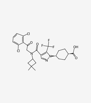 CC1(C)CC(N(CC(=O)c2c(Cl)cccc2Cl)C(=O)c2cnn([C@H]3CC[C@@H](C(=O)O)CC3)c2C(F)(F)F)C1